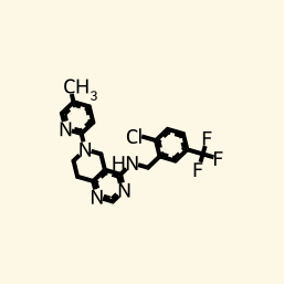 Cc1ccc(N2CCc3ncnc(NCc4cc(C(F)(F)F)ccc4Cl)c3C2)nc1